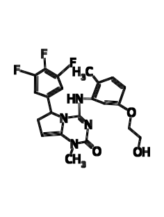 Cc1ccc(OCCO)cc1NC1=NC(=O)N(C)C2=CCC(c3cc(F)c(F)c(F)c3)N21